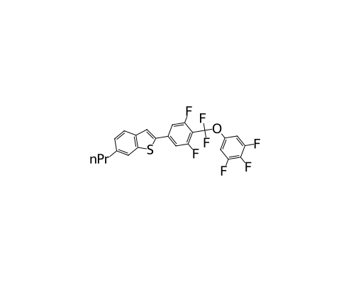 CCCc1ccc2cc(-c3cc(F)c(C(F)(F)Oc4cc(F)c(F)c(F)c4)c(F)c3)sc2c1